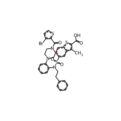 Cc1c(C(=O)O)sc2ccc(S(=O)(=O)N(CCc3ccccc3)c3ccccc3N3CCN(C(=O)c4sccc4Br)CC3)cc12